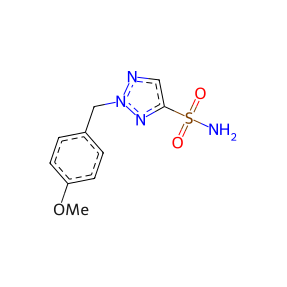 COc1ccc(Cn2ncc(S(N)(=O)=O)n2)cc1